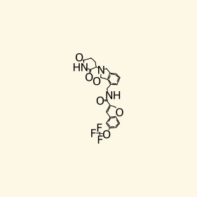 O=C1CCC(N2Cc3cccc(CNC(=O)C4=Cc5cc(OC(F)(F)F)ccc5OC4)c3C2=O)C(=O)N1